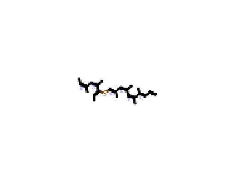 C=C/C=C(C)/C(C)=C\C(C)=C/C(C)=C/SC(=CC)/C(C)=C\C(C)=C/C